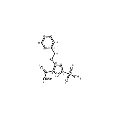 COC(=O)c1sc(S(C)(=O)=O)cc1OCc1ccccc1